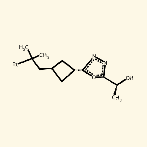 CCC(C)(C)C[C@H]1C[C@H](c2nnc([C@H](C)O)o2)C1